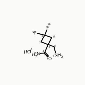 Cl.NCC1(C(N)=O)CC(F)(F)C1